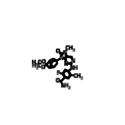 COC1(OC)C2CC3CC(n4c(=O)n(C)c5cnc(Nc6cc(F)c(C(N)=O)cc6C)nc54)(C2)CC31